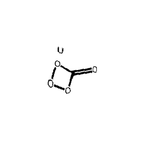 O=c1ooo1.[U]